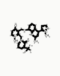 Cc1cc(-c2ccnn2C)c2cccc(OCc3c(Cl)cc[n+](O)c3Cn3cccc(C(F)(F)F)c3=O)c2n1